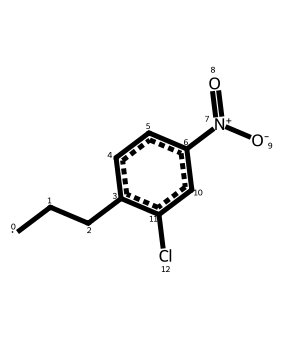 [CH2]CCc1ccc([N+](=O)[O-])cc1Cl